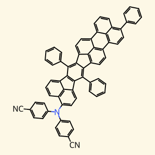 N#Cc1ccc(N(c2ccc(C#N)cc2)c2ccc3c4c(-c5ccccc5)c5c6ccc7c8ccc(-c9ccccc9)c9cccc(c%10ccc(c5c(-c5ccccc5)c4c4cccc2c43)c6c%107)c98)cc1